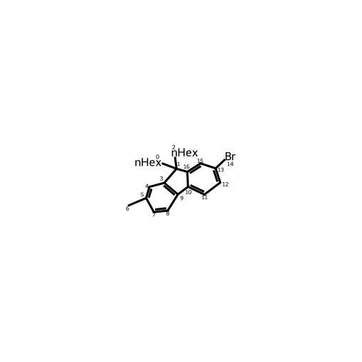 CCCCCCC1(CCCCCC)c2cc(C)ccc2-c2ccc(Br)cc21